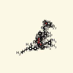 CCc1cc(OCCCCN)ccc1-c1ccc(C[C@H](NC(=O)[C@H](CC(=O)O)NC(=O)[C@H](CO)NC(=O)[C@@H](NC(=O)[C@](C)(Cc2ccccc2F)NC(=O)[C@@H](NC(=O)CNC(=O)[C@H](Cc2nn[nH]n2)NC(=O)C(C)(C)C(N)=O)[C@@H](C)O)[C@@H](C)O)C(=O)N[C@@H](CCCc2cc(C)cc(C)c2)C(N)=O)cc1